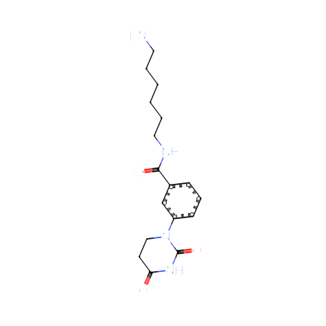 NCCCCCCNC(=O)c1cccc(N2CCC(=O)NC2=O)c1